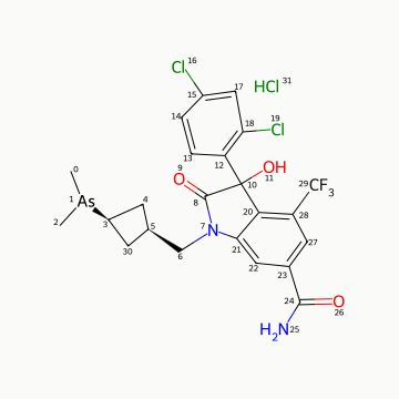 C[As](C)[C@H]1C[C@@H](CN2C(=O)C(O)(c3ccc(Cl)cc3Cl)c3c2cc(C(N)=O)cc3C(F)(F)F)C1.Cl